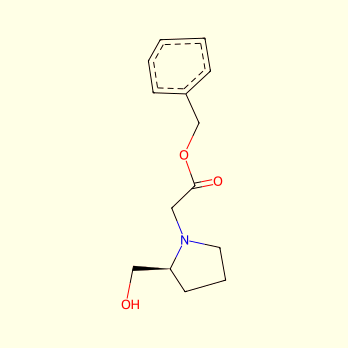 O=C(CN1CCC[C@H]1CO)OCc1ccccc1